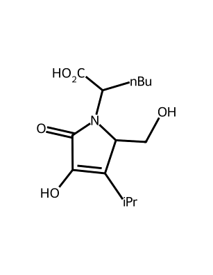 CCCCC(C(=O)O)N1C(=O)C(O)=C(C(C)C)C1CO